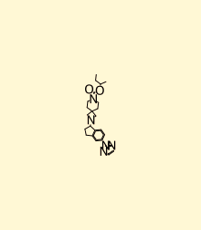 CCC(C)OC(=O)N1CCC2(CC1)CN([C@@H]1CCc3cc(-n4nccn4)ccc31)C2